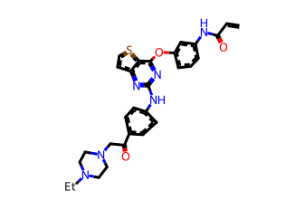 C=CC(=O)Nc1cccc(Oc2nc(Nc3ccc(C(=O)CN4CCN(CC)CC4)cc3)nc3ccsc23)c1